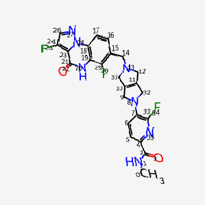 CNC(=O)c1ccc(N2CC3=C(CN(Cc4ccc5c([nH]c(=O)c6c(F)cnn65)c4F)C3)C2)c(F)n1